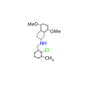 COc1ccc(OC)c2c1CCC(NCc1cccc(C)c1Cl)C2